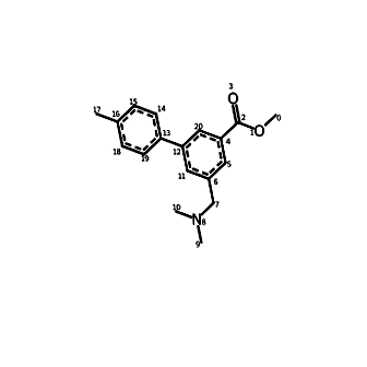 COC(=O)c1cc(CN(C)C)cc(-c2ccc(C)cc2)c1